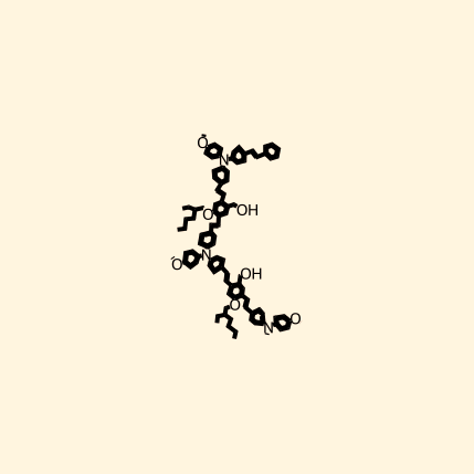 CCCCC(CC)COc1cc(C=Cc2ccc(N(c3ccc(C=Cc4cc(CO)c(C=Cc5ccc(N(c6ccc(C=Cc7ccccc7)cc6)c6ccc(OC)cc6)cc5)cc4OCC(CC)CCCC)cc3)c3ccc(OC)cc3)cc2)c(CO)cc1C=Cc1ccc(N(C)c2ccc(OC)cc2)cc1